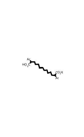 CC(=O)C(CCCCCCCCCCC(C(C)=O)C(=O)O)C(=O)O